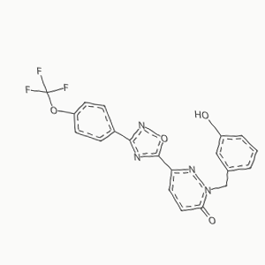 O=c1ccc(-c2nc(-c3ccc(OC(F)(F)F)cc3)no2)nn1Cc1cccc(O)c1